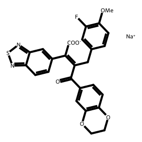 COc1ccc(C/C(C(=O)c2ccc3c(c2)OCCO3)=C(\C(=O)[O-])c2ccc3nsnc3c2)cc1F.[Na+]